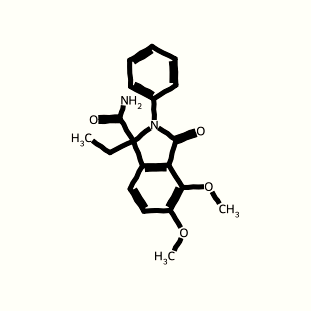 CCC1(C(N)=O)c2ccc(OC)c(OC)c2C(=O)N1c1ccccc1